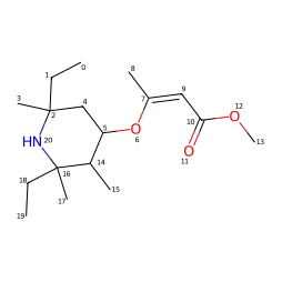 CCC1(C)CC(O/C(C)=C\C(=O)OC)C(C)C(C)(CC)N1